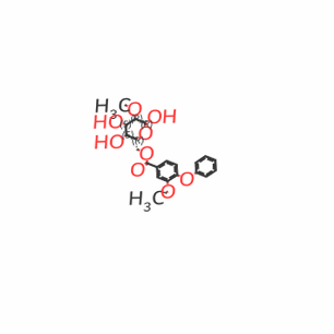 COc1cc(C(=O)OC[C@H]2O[C@@H](O)[C@H](OC)[C@@H](O)[C@@H]2O)ccc1Oc1ccccc1